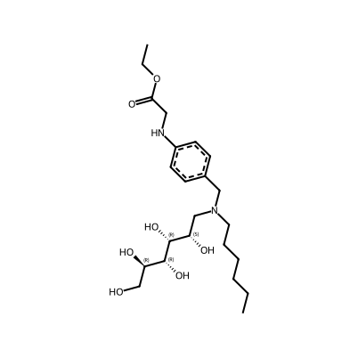 CCCCCCN(Cc1ccc(NCC(=O)OCC)cc1)C[C@H](O)[C@@H](O)[C@H](O)[C@H](O)CO